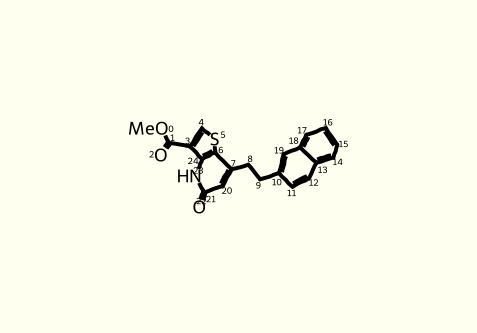 COC(=O)c1csc2c(CCc3ccc4ccccc4c3)cc(=O)[nH]c12